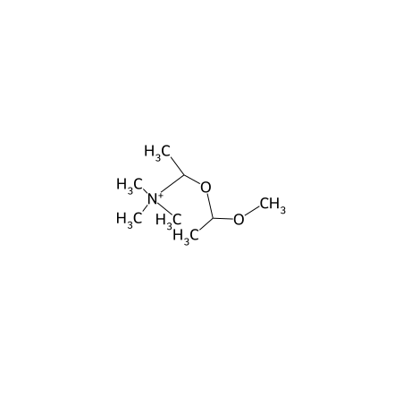 COC(C)OC(C)[N+](C)(C)C